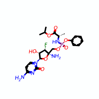 CC(C)OC(=O)[C@H](C)NP(=O)(OC[C@@]1(N)O[C@@H](n2ccc(N)nc2=O)[C@H](O)[C@@H]1F)Oc1ccccc1